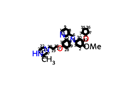 COc1ccc(N(Cc2cccnc2)c2ccc(OCCCN3CCNC(C)C3)cc2)cc1OC1CCCC1